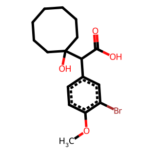 COc1ccc(C(C(=O)O)C2(O)CCCCCCC2)cc1Br